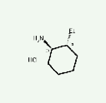 CC[C@@H]1CCCC[C@H]1N.Cl